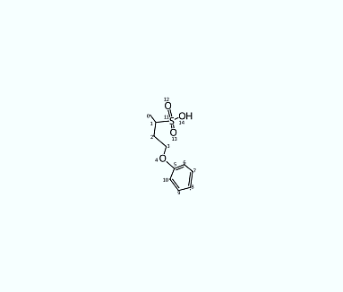 CC(CCOc1cc[c]cc1)S(=O)(=O)O